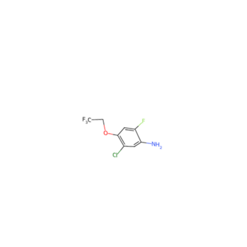 Nc1cc(Cl)c(OCC(F)(F)F)cc1F